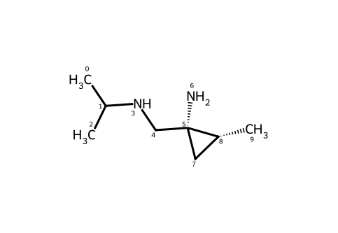 CC(C)NC[C@]1(N)C[C@H]1C